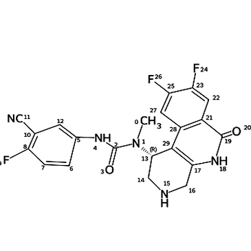 CN(C(=O)Nc1ccc(F)c(C#N)c1)[C@H]1CNCc2[nH]c(=O)c3cc(F)c(F)cc3c21